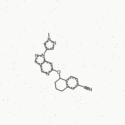 Cn1cc(-n2ncc3cnc(OC4CCCc5cc(C#N)ccc54)cc32)cn1